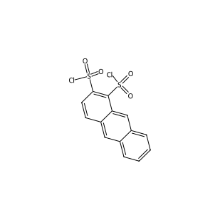 O=S(=O)(Cl)c1ccc2cc3ccccc3cc2c1S(=O)(=O)Cl